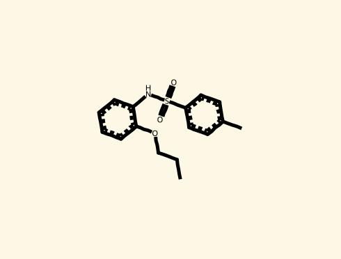 CCCOc1ccccc1NS(=O)(=O)c1ccc(C)cc1